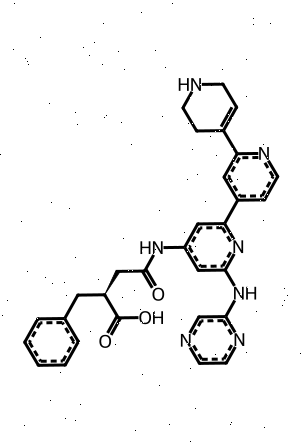 O=C(C[C@H](Cc1ccccc1)C(=O)O)Nc1cc(Nc2cnccn2)nc(-c2ccnc(C3=CCNCC3)c2)c1